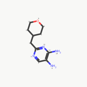 Nc1cnc(CC2CCOCC2)nc1N